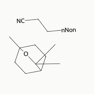 CC12CCC(CC1)C(C)(C)O2.CCCCCCCCCCCC#N